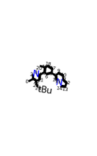 Cc1cnc(-c2cc(-c3ccc4cccn4c3)ccc2C)cc1CC(C)(C)C